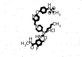 CCCCCN(C(=O)Nc1cc(C(=O)NC)c(F)cc1F)C1CCN(Cc2ccc(Oc3ccc(NS(C)(=O)=O)cc3)nc2)CC1.Cl